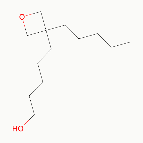 CCCCCC1(CCCCCO)COC1